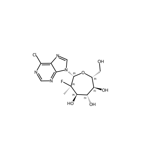 C[C@@]1(F)[C@H](O)[C@@H](O)[C@H](O)[C@@H](CO)O[C@H]1n1cnc2c(Cl)ncnc21